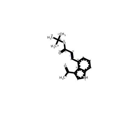 CC(=O)c1c[nH]c2cccc(/C=C/C(=O)OC(C)(C)C)c12